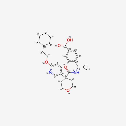 CC(NC(=O)C1(c2ccc(OCCC3CCCCC3)nc2)CCOCC1)c1ccc(C(=O)O)cc1